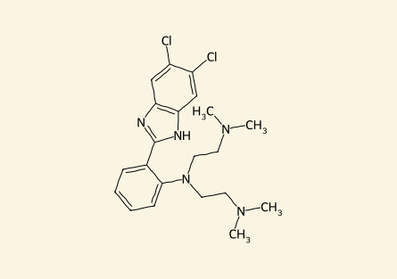 CN(C)CCN(CCN(C)C)c1ccccc1-c1nc2cc(Cl)c(Cl)cc2[nH]1